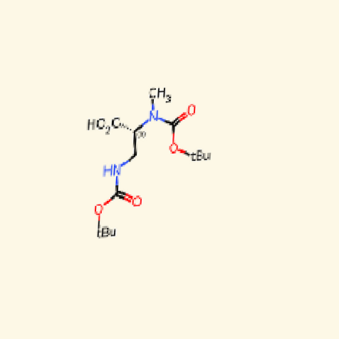 CN(C(=O)OC(C)(C)C)[C@H](CNC(=O)OC(C)(C)C)C(=O)O